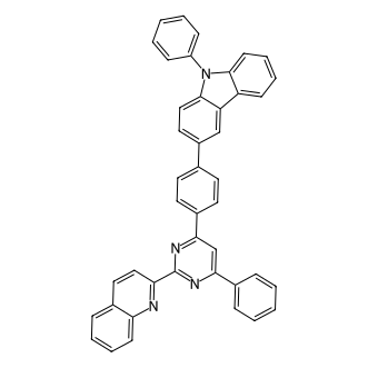 c1ccc(-c2cc(-c3ccc(-c4ccc5c(c4)c4ccccc4n5-c4ccccc4)cc3)nc(-c3ccc4ccccc4n3)n2)cc1